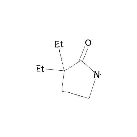 CCC1(CC)CC[N]C1=O